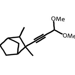 COC(C#CC1(C)C2CCC(C2)C1C)OC